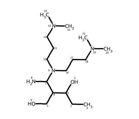 CCC(O)C(CO)C(N)N(CCCN(C)C)CCCN(C)C